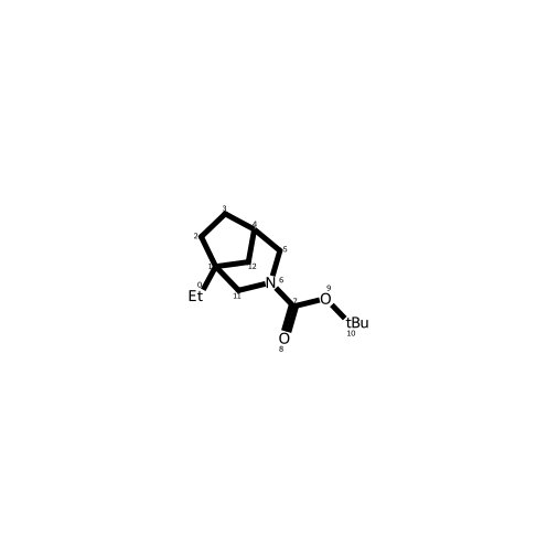 CCC12CCC(CN(C(=O)OC(C)(C)C)C1)C2